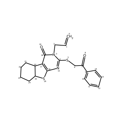 C=CCn1c(SCC(=O)c2ccccc2)nc2c(c1=O)C1CCCCC1S2